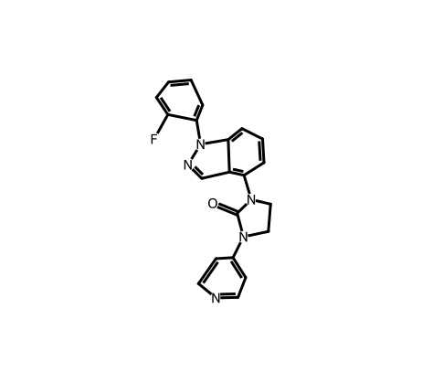 O=C1N(c2ccncc2)CCN1c1cccc2c1cnn2-c1ccccc1F